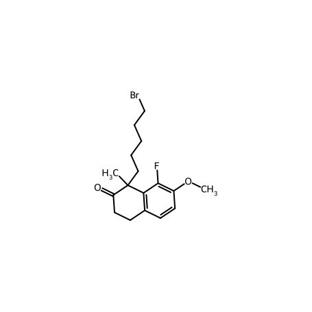 COc1ccc2c(c1F)C(C)(CCCCCBr)C(=O)CC2